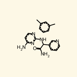 Cc1cccc(C)c1.NC(=O)C(Nc1nccc(N)n1)c1cccnc1